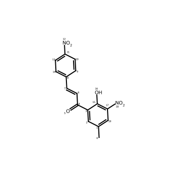 Cc1cc(C(=O)/C=C/c2ccc([N+](=O)[O-])cc2)c(O)c([N+](=O)[O-])c1